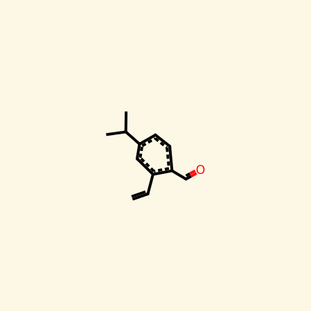 C=Cc1cc(C(C)C)ccc1C=O